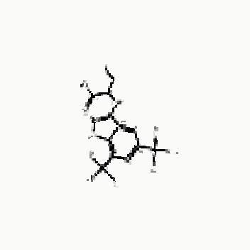 CCC(Nc1noc2c(C(F)(F)F)cc(C(F)(F)F)cc12)C(=O)O